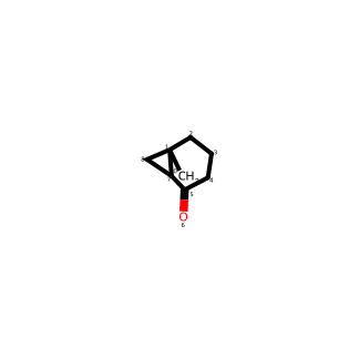 CC12CCCC(=O)C1C2